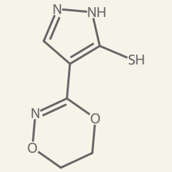 Sc1[nH]ncc1C1=NOCCO1